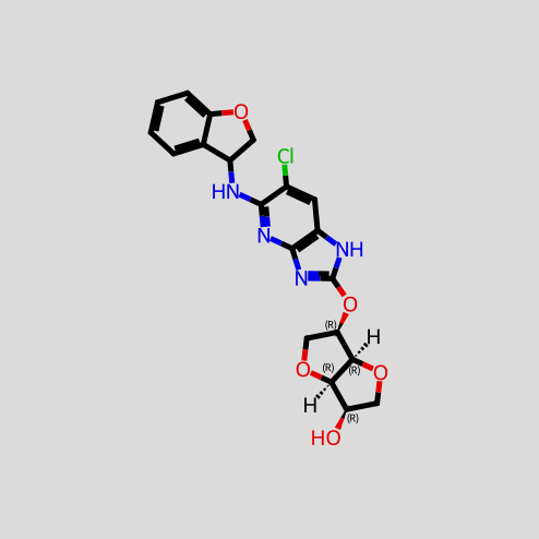 O[C@@H]1CO[C@H]2[C@@H]1OC[C@H]2Oc1nc2nc(NC3COc4ccccc43)c(Cl)cc2[nH]1